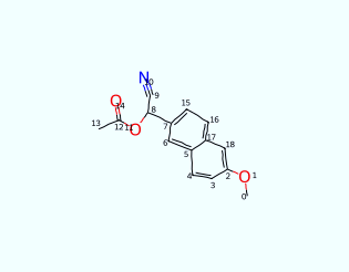 COc1ccc2cc(C(C#N)OC(C)=O)ccc2c1